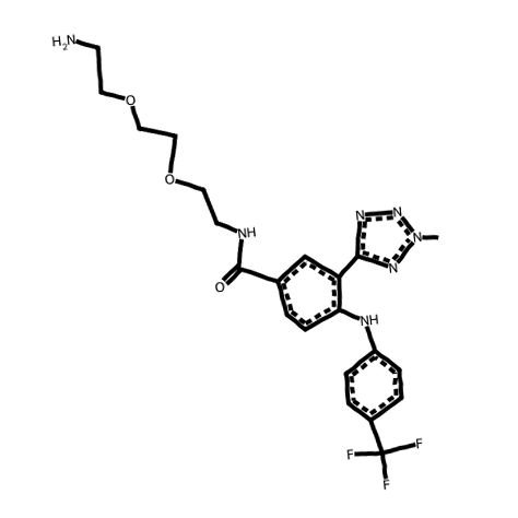 Cn1nnc(-c2cc(C(=O)NCCOCCOCCN)ccc2Nc2ccc(C(F)(F)F)cc2)n1